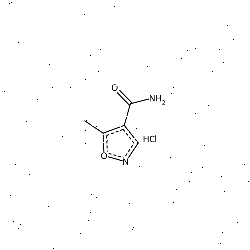 Cc1oncc1C(N)=O.Cl